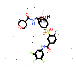 C[C@H]1CC2C[C@@H](S(=O)(=O)c3cc(C(=O)Nc4cc(F)c(F)c(F)c4)ccc3Cl)C[C@H]1[C@@]2(O)CNC(=O)C1CCOCC1